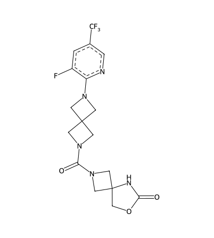 O=C1NC2(CO1)CN(C(=O)N1CC3(C1)CN(c1ncc(C(F)(F)F)cc1F)C3)C2